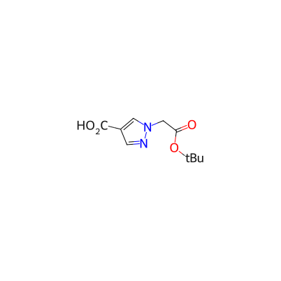 CC(C)(C)OC(=O)Cn1cc(C(=O)O)cn1